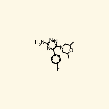 CC1CN(c2nnc(N)nc2-c2ccc(F)cc2)CC(C)O1